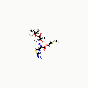 CSCCOC(=O)C(=NOC(C)(C)C(=O)OC(C)(C)C)c1csc(N)n1